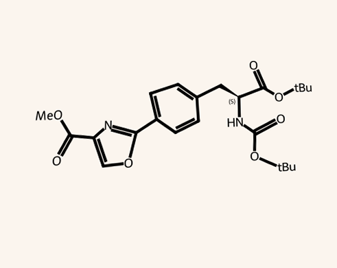 COC(=O)c1coc(-c2ccc(C[C@H](NC(=O)OC(C)(C)C)C(=O)OC(C)(C)C)cc2)n1